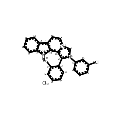 Clc1cccc(-n2c[n+]3ccc4c5ccccc5[nH]c4c3c2-c2ccccc2Br)c1.[Cl-]